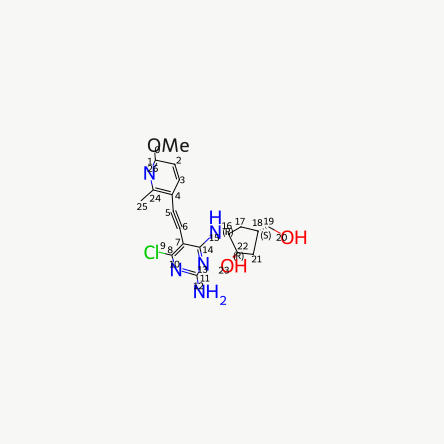 COc1ccc(C#Cc2c(Cl)nc(N)nc2N[C@@H]2C[C@H](CO)C[C@H]2O)c(C)n1